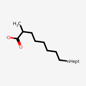 CCCCCCCCCCCCCC(C)C([O])=O